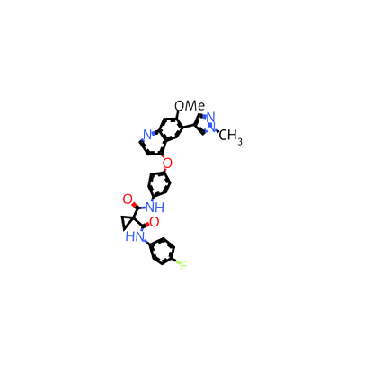 COc1cc2nccc(Oc3ccc(NC(=O)C4(C(=O)Nc5ccc(F)cc5)CC4)cc3)c2cc1-c1cnn(C)c1